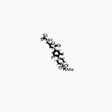 CCC(=S)NCC1CN(c2cc(F)c(N3CCN(S(=O)(=O)NC)CC3)c(F)c2)C(=O)O1